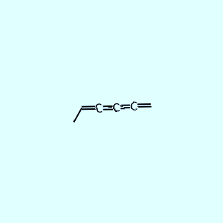 C=C=C=C=CC